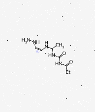 CCC(=O)NC(=O)NC(C)N/C=C\NN